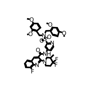 COc1ccc(CN(Cc2ccc(OC)cc2OC)S(=O)(=O)c2cc(NC(=O)c3cc4cccc(F)c4nc3N3CCC(F)(F)C(C)C3)ccn2)c(OC)c1